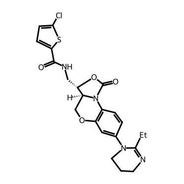 CCC1=NCCCN1c1ccc2c(c1)OC[C@H]1[C@H](CNC(=O)c3ccc(Cl)s3)OC(=O)N21